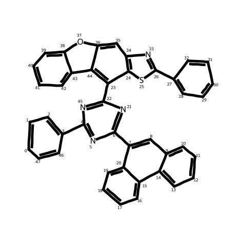 c1ccc(-c2nc(-c3cc4ccccc4c4ccccc34)nc(-c3c4sc(-c5ccccc5)nc4cc4oc5ccccc5c34)n2)cc1